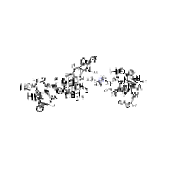 CC(C)(C)[Si](C)(C)O[C@@H](CNCc1ccc2c(c1)oc(=O)n2CC/C=C/c1ccc(-c2ccccc2)c(N(C(=O)O)[C@H]2CN3CCC2CC3)c1)c1ccc(O)c2[nH]c(=O)ccc12